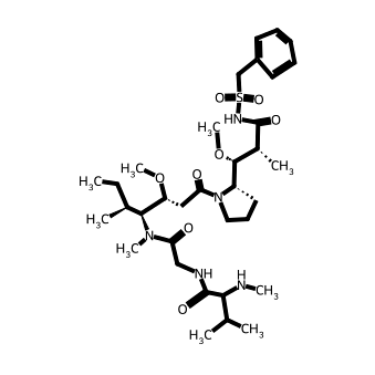 CC[C@H](C)[C@@H]([C@@H](CC(=O)N1CCC[C@H]1[C@H](OC)[C@@H](C)C(=O)NS(=O)(=O)Cc1ccccc1)OC)N(C)C(=O)CNC(=O)C(NC)C(C)C